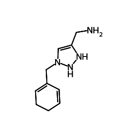 NCC1=CN(CC2=CCCC=C2)NN1